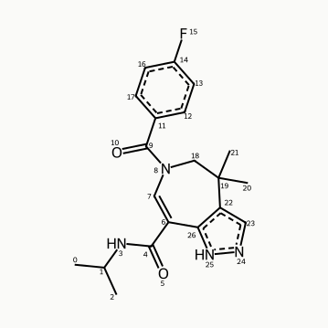 CC(C)NC(=O)C1=CN(C(=O)c2ccc(F)cc2)CC(C)(C)c2cn[nH]c21